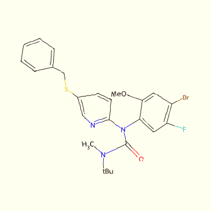 COc1cc(Br)c(F)cc1N(C(=O)N(C)C(C)(C)C)c1ccc(SCc2ccccc2)cn1